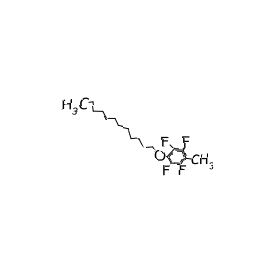 CCCCCCCCCCCCOc1c(F)c(F)c(C)c(F)c1F